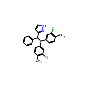 Cc1ccc(B(c2ccc(C)c(Cl)c2)C(c2ccccc2)c2cc[nH]n2)cc1Cl